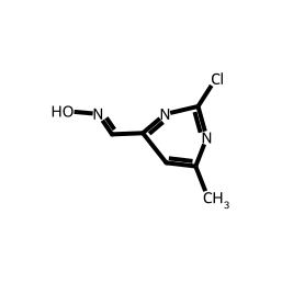 Cc1cc(/C=N/O)nc(Cl)n1